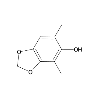 Cc1cc2c(c(C)c1O)OCO2